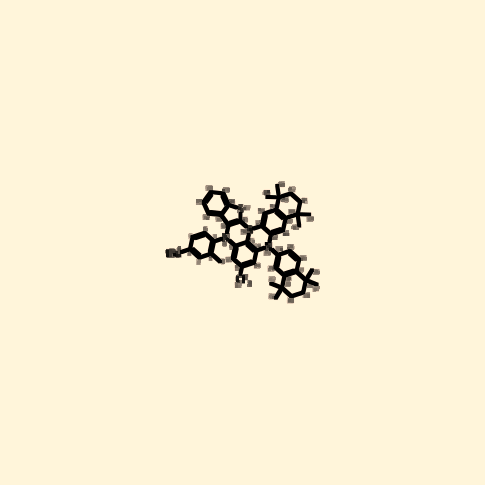 Cc1cc(C(C)(C)C)ccc1N1c2cc(C(F)(F)F)cc3c2B(c2cc4c(cc2N3c2ccc3c(c2)C(C)(C)CCC3(C)C)C(C)(C)CCC4(C)C)c2sc3ccccc3c21